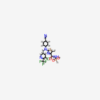 Cc1sc(N(Cc2cnc(C(F)(F)F)c(Cl)c2)c2ccc(C#N)cc2)nc1C(=O)NS(C)(=O)=O